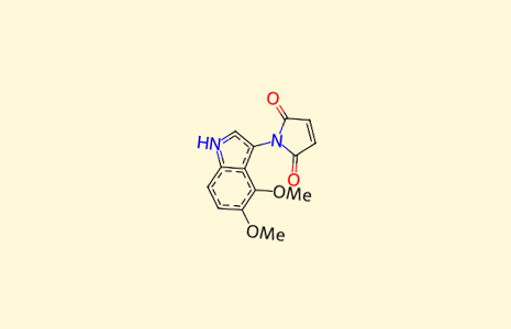 COc1ccc2[nH]cc(N3C(=O)C=CC3=O)c2c1OC